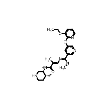 C=N/C(=N\C=C(/C)C(=O)N[C@@H]1CNCC[C@@H]1F)c1cncc(Oc2ncccc2OCC)c1